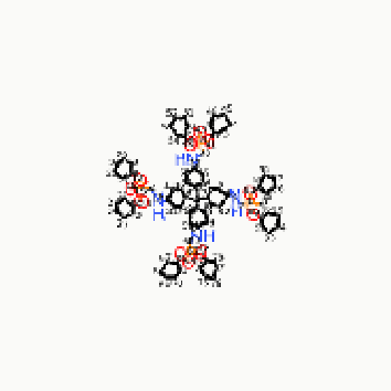 C=P(CNc1ccc(C(c2ccc(NCP(=O)(Oc3ccccc3)Oc3ccccc3)cc2)(c2ccc(NCP(=O)(Oc3ccccc3)Oc3ccccc3)cc2)c2ccc(NCP(=O)(Oc3ccccc3)Oc3ccccc3)cc2)cc1)(Oc1ccccc1)Oc1ccccc1